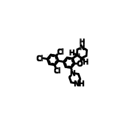 Clc1cc(Cl)c(-c2cc3c(c(N4CCNCC4)c2)O[C@H]2CCNC[C@@H]32)c(Cl)c1